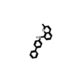 Cc1ccc2ccc[c]([AlH][c]3ccc(-c4ccccc4)cc3)c2n1